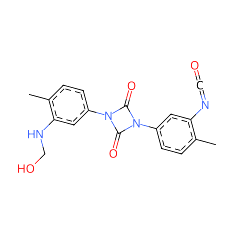 Cc1ccc(N2C(=O)N(c3ccc(C)c(NCO)c3)C2=O)cc1N=C=O